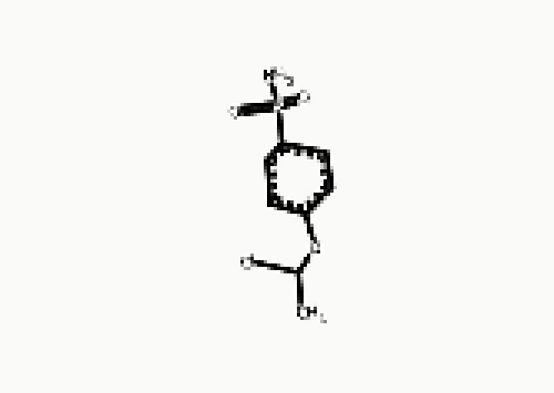 CC(Cl)Oc1ccc(S(N)(=O)=O)cc1